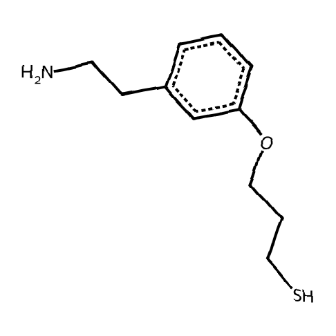 NCCc1cccc(OCCCS)c1